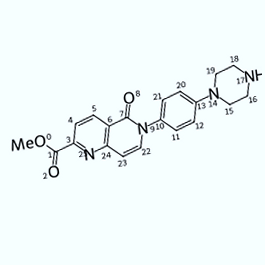 COC(=O)c1ccc2c(=O)n(-c3ccc(N4CCNCC4)cc3)ccc2n1